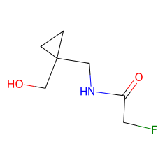 O=C(CF)NCC1(CO)CC1